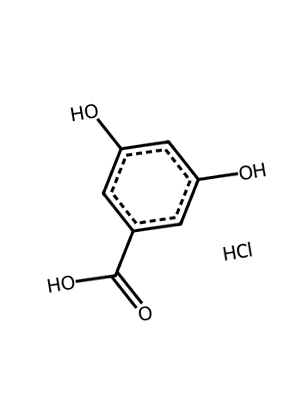 Cl.O=C(O)c1cc(O)cc(O)c1